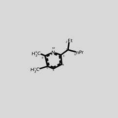 CCCC(CC)c1ccc(C)c(C)n1